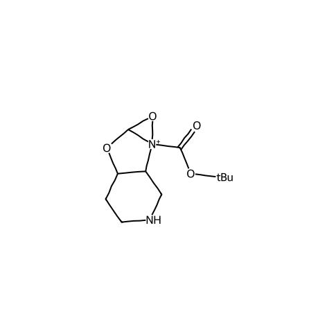 CC(C)(C)OC(=O)[N+]12OC1OC1CCNCC12